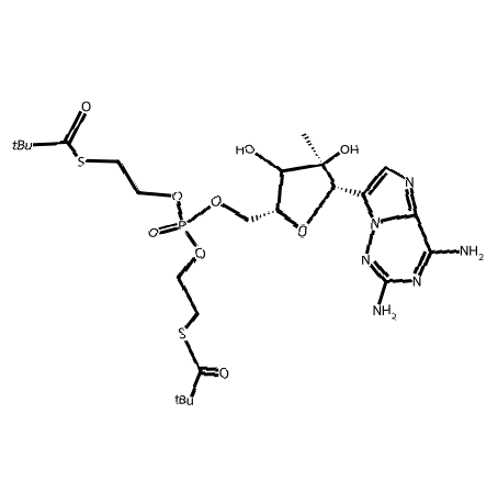 CC(C)(C)C(=O)SCCOP(=O)(OCCSC(=O)C(C)(C)C)OC[C@H]1O[C@@H](c2cnc3c(N)nc(N)nn23)[C@](C)(O)C1O